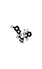 O=C(Nc1snnc1C(=O)NC1Cc2ccc(Cl)cc2C1)c1cccc(C(F)(F)F)c1Cl